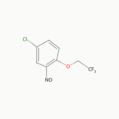 O=Nc1cc(Cl)ccc1OCC(F)(F)F